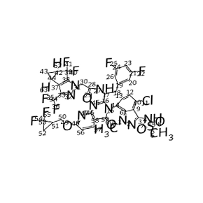 Cn1nc(NS(C)(=O)=O)c2c(Cl)ccc(-n3c(C(Cc4cc(F)cc(F)c4)NC(=O)Cn4nc(C(F)F)c5c4C(F)(F)[C@@H]4C[C@H]54)nc4nc(OCC5CC5(F)F)ccc4c3=O)c21